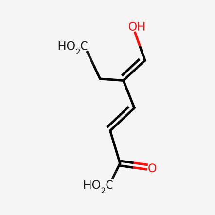 O=C(O)CC(/C=C/C(=O)C(=O)O)=C\O